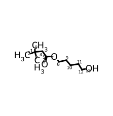 CC(C)(C)CC(=O)OCCCCCO